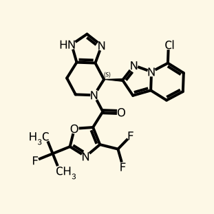 CC(C)(F)c1nc(C(F)F)c(C(=O)N2CCc3[nH]cnc3[C@H]2c2cc3cccc(Cl)n3n2)o1